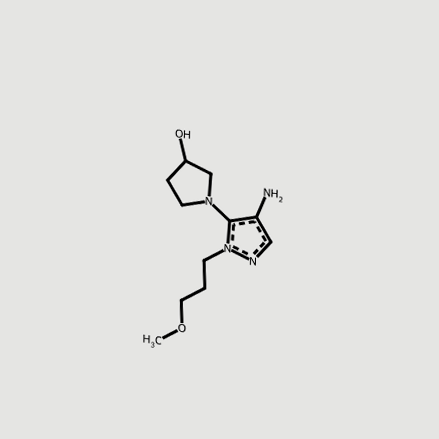 COCCCn1ncc(N)c1N1CCC(O)C1